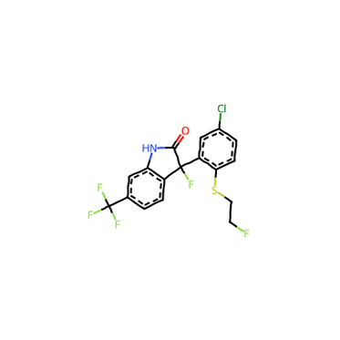 O=C1Nc2cc(C(F)(F)F)ccc2C1(F)c1cc(Cl)ccc1SCCF